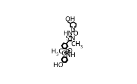 Cc1ccc(-c2sc(NC(=O)N3CCCC(CO)C3)nc2C)cc1S(=O)(=O)Nc1ccc(O)cc1